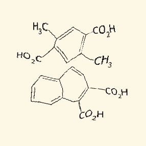 Cc1cc(C(=O)O)c(C)cc1C(=O)O.O=C(O)c1ccc2ccccc2c1C(=O)O